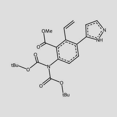 C=Cc1c(-c2ccn[nH]2)ccc(N(C(=O)OC(C)(C)C)C(=O)OC(C)(C)C)c1C(=O)OC